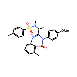 COc1ccc(-n2c(C(C)N(C)S(=O)(=O)c3ccc(C)cc3)nc3cccc(C)c3c2=O)cc1